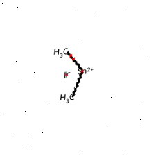 CCCCCCCCCCC[CH2][Sn+2][CH2]CCCCCCCCCCC.[I-].[I-]